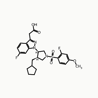 COc1ccc(S(=O)(=O)N2C[C@@H](CC3CCCC3)[C@@H](n3nc(CC(=O)O)c4ccc(F)cc43)C2)c(F)c1